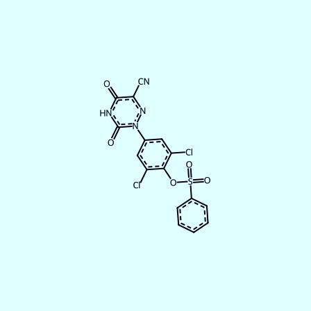 N#Cc1nn(-c2cc(Cl)c(OS(=O)(=O)c3ccccc3)c(Cl)c2)c(=O)[nH]c1=O